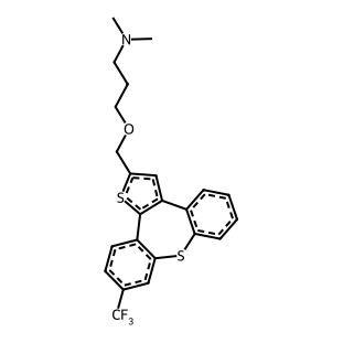 CN(C)CCCOCc1cc2c(s1)-c1ccc(C(F)(F)F)cc1Sc1ccccc1-2